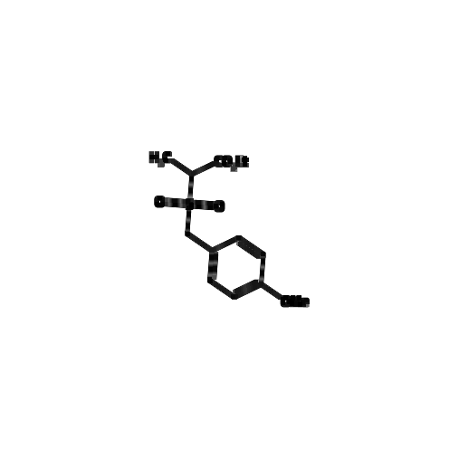 CCOC(=O)C(C)S(=O)(=O)Cc1ccc(OC)cc1